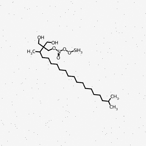 CC(C)CCCCCCCCCCCCCCCC(C)C(CO)(CO)CO[Si](=O)OO[SiH3]